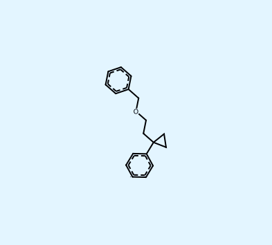 [c]1ccc(C2(CCOCc3ccccc3)CC2)cc1